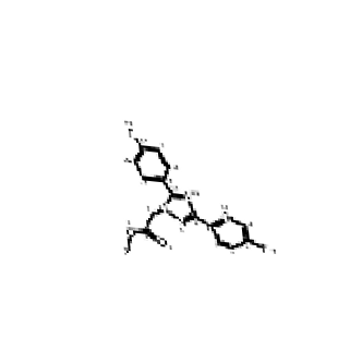 COC(=O)Cn1nc(-c2ccc(F)cn2)nc1-c1ccc(F)cc1